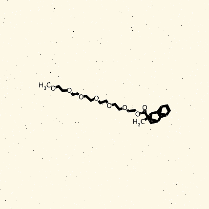 COCCOCCOCCOCCOCCOCCOC(=O)C1(C)CC2CC1C1C3C=CC(C3)C21